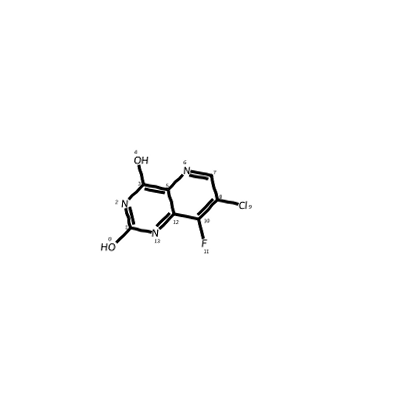 Oc1nc(O)c2ncc(Cl)c(F)c2n1